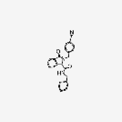 N#Cc1ccc(CN2C(=O)c3ccccc3C2C(=O)NCc2ccccc2)cc1